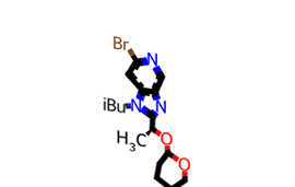 CCC(C)n1c([C@H](C)OC2CCCCO2)nc2cnc(Br)cc21